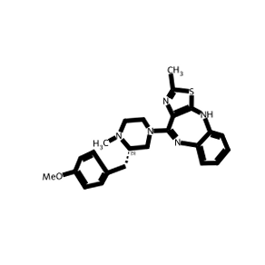 COc1ccc(C[C@H]2CN(C3=Nc4ccccc4Nc4sc(C)nc43)CCN2C)cc1